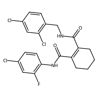 O=C(NCc1ccc(Cl)cc1Cl)C1=C(C(=O)Nc2ccc(Cl)cc2F)CCCC1